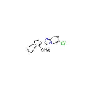 COc1c(-c2cn3cc(Cl)ccc3n2)ccc2ccccc12